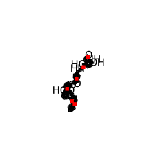 O=C(COc1cccc(C(O)(C(=O)OCC2CCN(Cc3ccccc3)CC2)c2ccccc2)c1)N1CCC(CCNC[C@H](O)c2ccc(O)c3[nH]c(=O)ccc23)CC1